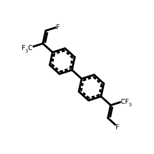 F/C=C(/c1ccc(-c2ccc(/C(=C\F)C(F)(F)F)cc2)cc1)C(F)(F)F